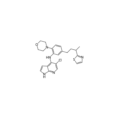 CC(CCc1ccc(N2CCOCC2)c(Nc2c(Cl)cnc3[nH]ccc23)c1)c1nccs1